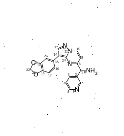 NC(c1cccnc1)c1ccn2ncc(-c3ccc4c(c3)OCO4)c2n1